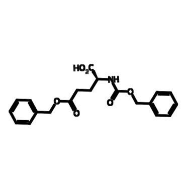 O=C(CC[C@H](NC(=O)OCc1ccccc1)C(=O)O)OCc1ccccc1